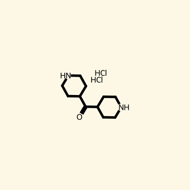 Cl.Cl.O=C(C1CCNCC1)C1CCNCC1